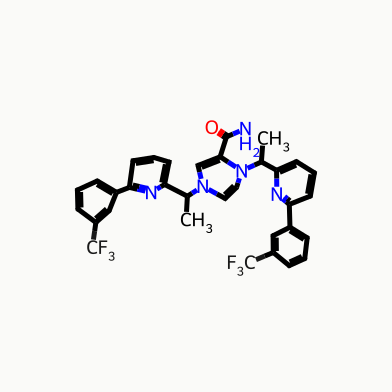 CC(c1cccc(-c2cccc(C(F)(F)F)c2)n1)N1C=CN(C(C)c2cccc(-c3cccc(C(F)(F)F)c3)n2)C(C(N)=O)=C1